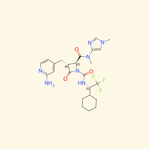 CN(C(=O)[C@@H]1[C@@H](Cc2ccnc(N)c2)C(=O)N1C(=O)N[C@@H](C1CCCCC1)C(F)(F)F)c1cn(C)cn1